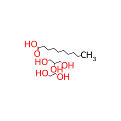 CCCCCCCCCC(=O)O.OCC(O)CO.OCCO